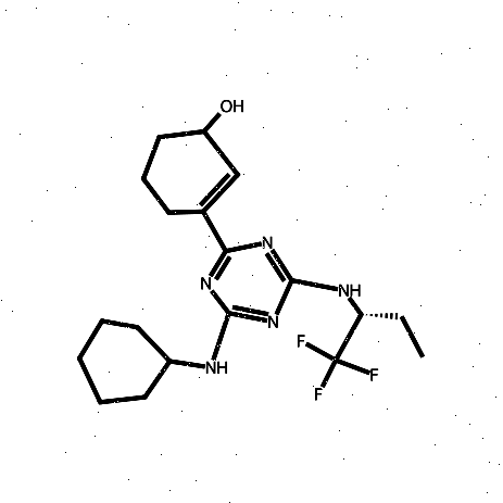 CC[C@@H](Nc1nc(NC2CCCCC2)nc(C2=CC(O)CCC2)n1)C(F)(F)F